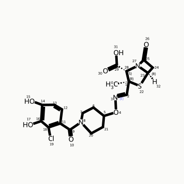 C[C@@]1(/C=N/OC2CCN(C(=O)c3ccc(O)c(O)c3Cl)CC2)S[C@@H]2CC(=O)N2[C@H]1C(=O)O